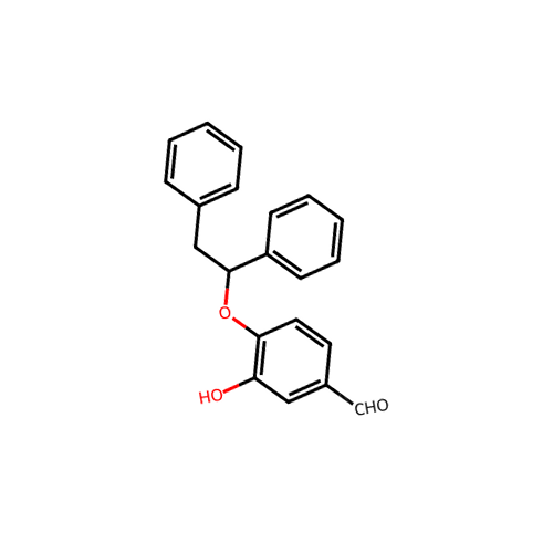 O=Cc1ccc(OC(Cc2ccccc2)c2ccccc2)c(O)c1